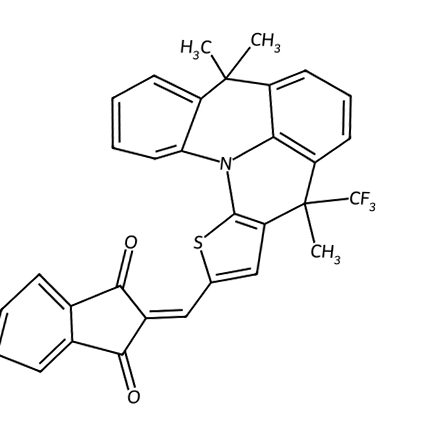 CC1(C)c2ccccc2N2c3sc(C=C4C(=O)c5ccccc5C4=O)cc3C(C)(C(F)(F)F)c3cccc1c32